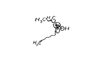 CCCCCCCCOP(=O)(O)OC(CC)CCCCC